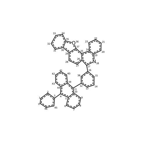 c1ccc(-c2c3ccccc3c(-c3cccc(-c4nc5ccccc5c5c4ccc4c6ccccc6oc45)c3)c3ccccc23)cc1